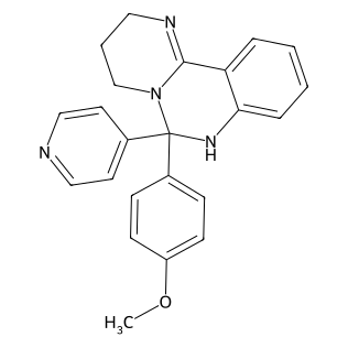 COc1ccc(C2(c3ccncc3)Nc3ccccc3C3=NCCCN32)cc1